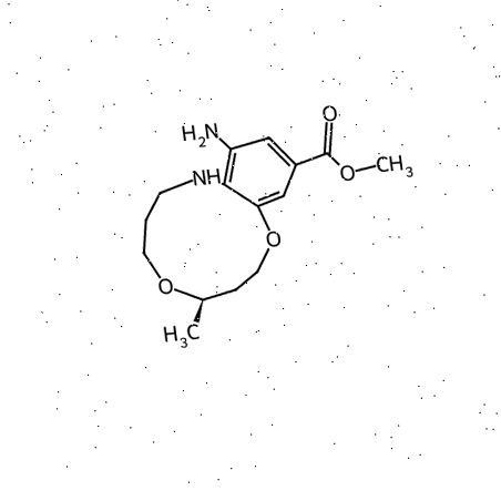 COC(=O)c1cc(N)c2c(c1)OCC[C@@H](C)OCCCN2